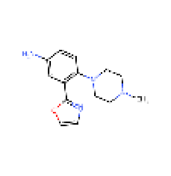 CN1CCN(c2ccc(N)cc2-c2ncco2)CC1